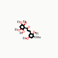 CCOc1cc(/C=C/C(=O)c2c(OCC)c(OCC)cc(OCC)c2OCC)c(OCC)c(OC)c1